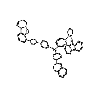 C1=CC2Oc3c(-c4ccc(-c5ccc(N(c6ccc(-c7ccc8ccccc8c7)cc6)c6ccc(-c7ccccc7-n7c8ccccc8c8ccccc87)cc6)cc5)cc4)cccc3C2C=C1